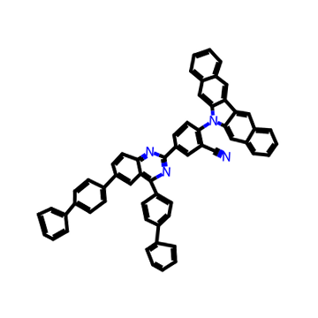 N#Cc1cc(-c2nc(-c3ccc(-c4ccccc4)cc3)c3cc(-c4ccc(-c5ccccc5)cc4)ccc3n2)ccc1-n1c2cc3ccccc3cc2c2cc3ccccc3cc21